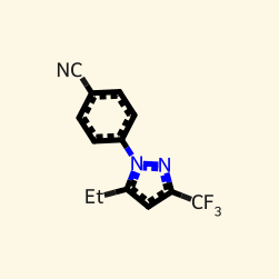 CCc1cc(C(F)(F)F)nn1-c1ccc(C#N)cc1